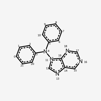 c1ccc(N(c2ccccc2)n2cnc3cncnc32)cc1